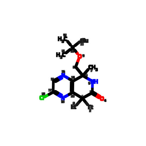 CCC1(CC)C(=O)NC(C)(CO[Si](C)(C)C(C)(C)C)c2ncc(Cl)nc21